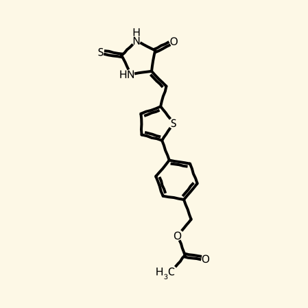 CC(=O)OCc1ccc(-c2ccc(/C=C3\NC(=S)NC3=O)s2)cc1